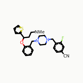 CNCCC(Oc1ccccc1CN1CCN(Cc2ccc(C#N)cc2F)CC1)c1cccs1